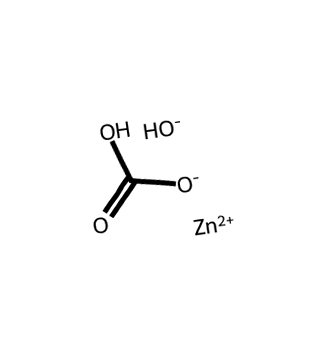 O=C([O-])O.[OH-].[Zn+2]